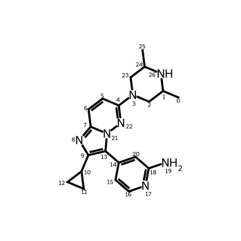 CC1CN(c2ccc3nc(C4CC4)c(-c4ccnc(N)c4)n3n2)CC(C)N1